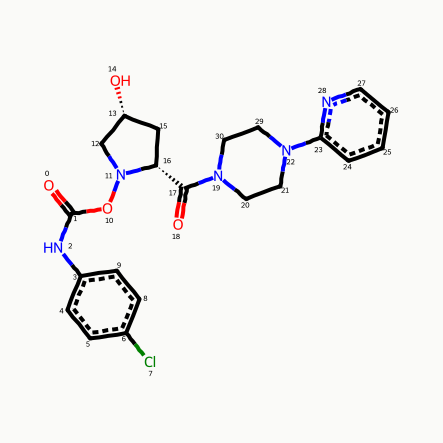 O=C(Nc1ccc(Cl)cc1)ON1C[C@H](O)C[C@@H]1C(=O)N1CCN(c2ccccn2)CC1